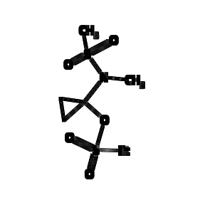 CCS(=O)(=O)OC1(N(C)S(C)(=O)=O)CC1